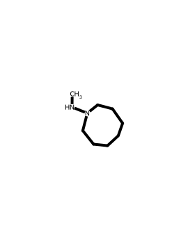 CNN1CCCCCCC1